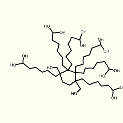 OCC1(CCCCCC(O)O)CCC(CO)(CCCCCC(O)O)C(CCCCCC(O)O)(CCCCCC(O)O)C1(CCCCCC(O)O)CCCCCC(O)O